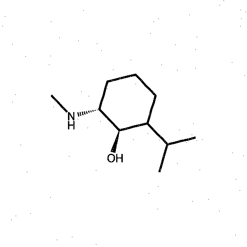 CN[C@@H]1CCCC(C(C)C)[C@H]1O